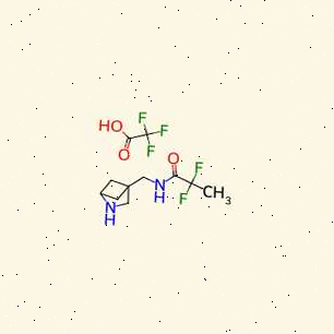 CC(F)(F)C(=O)NCC12CNC(C1)C2.O=C(O)C(F)(F)F